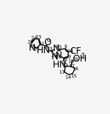 O=C(Nc1nc2cc(C(F)(F)F)cc(NC3CCCCC3CO)n2n1)c1cccnc1